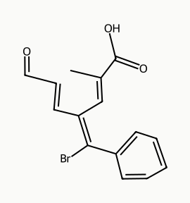 CC(=CC(C=CC=O)=C(Br)c1ccccc1)C(=O)O